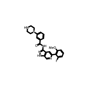 COc1cccc(F)c1-c1cc2c(NC(=O)c3cccc(N4CCNCC4)c3)n[nH]c2cn1